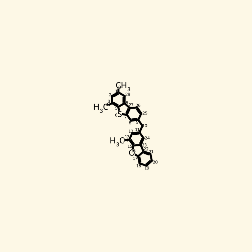 Cc1cc(C)c2sc3cc(Cc4cc(C)c5oc6ccccc6c5c4)ccc3c2c1